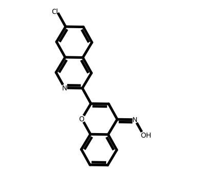 O/N=c1/cc(-c2cc3ccc(Cl)cc3cn2)oc2ccccc12